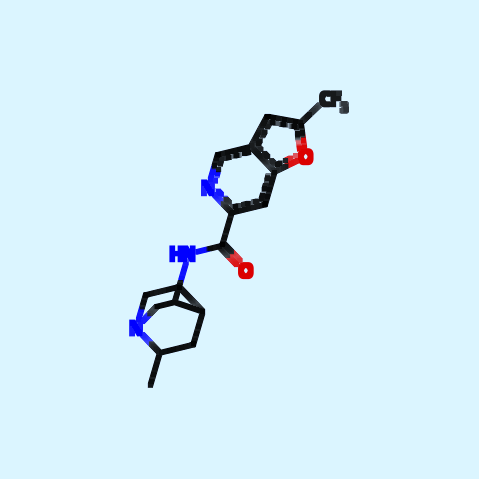 CC1CC2CCN1CC2NC(=O)c1cc2oc(C(F)(F)F)cc2cn1